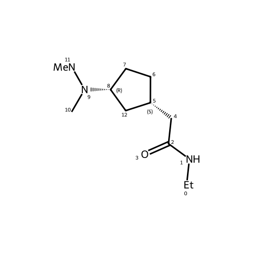 CCNC(=O)C[C@H]1CC[C@@H](N(C)NC)C1